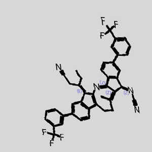 CC/C(CC#N)=C1\C2=C(CC/C(C)=C3C(=N/C#N)\c4cc(-c5cccc(C(F)(F)F)c5)ccc4C\3=N\2)c2ccc(-c3cccc(C(F)(F)F)c3)cc21